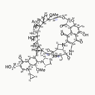 COc1c(N2CCC(NC(=O)C3CN(C4=C5NC(=O)/C(C)=C\C=C\[C@H](C)[C@H](O)[C@@H](C)[C@@H](O)[C@@H](C)[C@H](OC(C)=O)[C@H](C)[C@@H](OC)/C=C/O[C@@]6(C)Oc7c(C)c(O)c(c(c7C6=O)C4=O)C5=O)C3)C2)c(F)cc2c(=O)c(C(=O)O)cn(C3CC3)c12